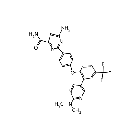 CN(C)c1ncc(-c2cc(C(F)(F)F)ccc2Oc2ccc(-c3nc(N)cc(C(N)=O)n3)cc2)cn1